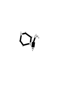 C1COCCO1.CC#N